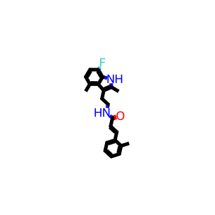 Cc1ccccc1/C=C/C(=O)NCCc1c(C)[nH]c2c(F)ccc(C)c12